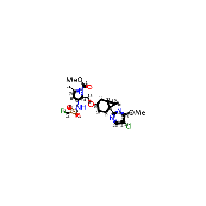 COC(=O)N1[C@H](C)C[C@H](NS(=O)(=O)CF)[C@@H]1CO[C@H]1CC[C@@]2(c3ncc(Cl)c(OC)n3)C(C)C2C1